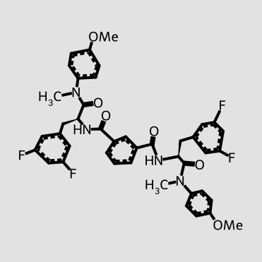 COc1ccc(N(C)C(=O)[C@H](Cc2cc(F)cc(F)c2)NC(=O)c2cccc(C(=O)N[C@@H](Cc3cc(F)cc(F)c3)C(=O)N(C)c3ccc(OC)cc3)c2)cc1